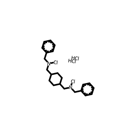 Cl.Cl.ClN(Cc1ccccc1)CC1CCC(CN(Cl)Cc2ccccc2)CC1